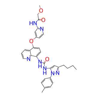 CCCCc1cc(NC(=O)Nc2ccc(Oc3ccnc(NC(=O)COC)c3)c3cccnc23)n(-c2ccc(C)cc2)n1